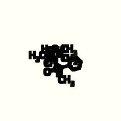 CN1C(=O)C(N([Si](C)(C)C)[Si](C)(C)C)C1c1ccccc1